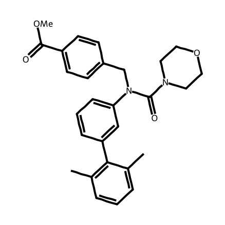 COC(=O)c1ccc(CN(C(=O)N2CCOCC2)c2cccc(-c3c(C)cccc3C)c2)cc1